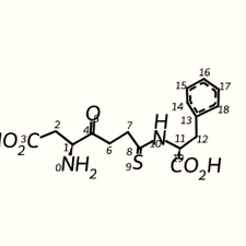 N[C@@H](CC(=O)O)C(=O)CCC(=S)N[C@@H](Cc1ccccc1)C(=O)O